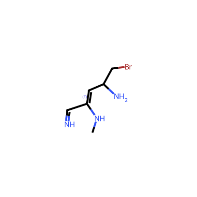 CN/C(C=N)=C\C(N)CBr